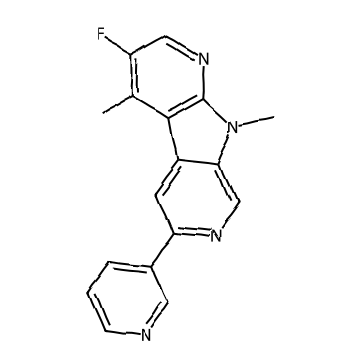 Cc1c(F)cnc2c1c1cc(-c3cccnc3)ncc1n2C